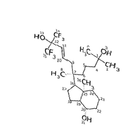 CC(C)(O)CCC[C@](C)(C/C=C/C(O)(C(F)(F)F)C(F)(F)F)C1CCC2[C@@H](O)CCC[C@@]21C